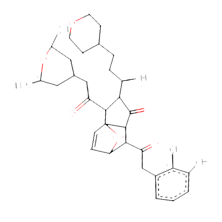 Cc1cccc(CC(=O)C2C3C=CC4(O3)C(C(=O)CC3CC(C)OC(C)C3)C(C(C)CCC3CCOCC3)C(=O)C24)c1C